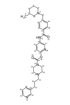 CC1CCCN(Cc2ccc(C(=O)Nc3ccc(OC(=O)N4CCN(CCCc5cccnc5)CC4)nc3)cc2)C1